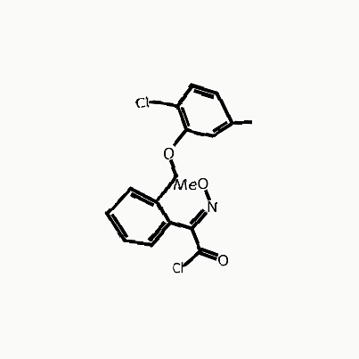 CO/N=C(/C(=O)Cl)c1ccccc1COc1cc(C)ccc1Cl